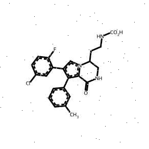 Cc1cccc(-c2c(-c3cc(Cl)ccc3F)cn3c2C(=O)NCC3CCNC(=O)O)c1